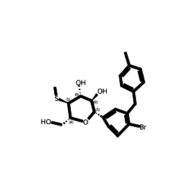 CS[C@H]1[C@H](O)[C@@H](O)[C@H](c2ccc(Br)c(Cc3ccc(C)cc3)c2)O[C@@H]1CO